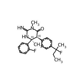 CCC(C)(F)c1ccc([C@@H]2C(=O)N(C)C(=N)N[C@]2(C)c2ccccc2F)cc1